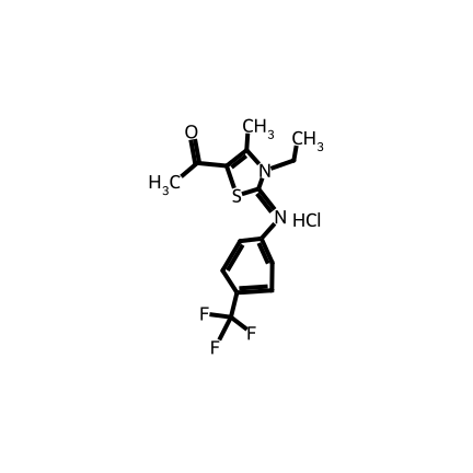 CCn1c(C)c(C(C)=O)s/c1=N\c1ccc(C(F)(F)F)cc1.Cl